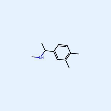 CNC(C)c1ccc(C)c(C)c1